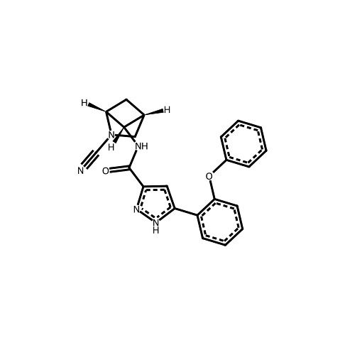 N#CN1C[C@H]2C[C@@H]1[C@H]2NC(=O)c1cc(-c2ccccc2Oc2ccccc2)[nH]n1